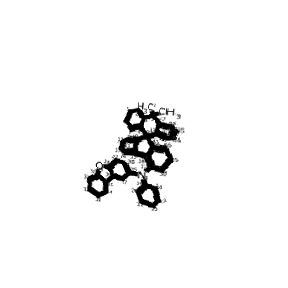 CC1(C)c2ccccc2C2(c3ccccc3-c3c(N(c4ccccc4)c4ccc5oc6ccccc6c5c4)cccc32)c2ccccc21